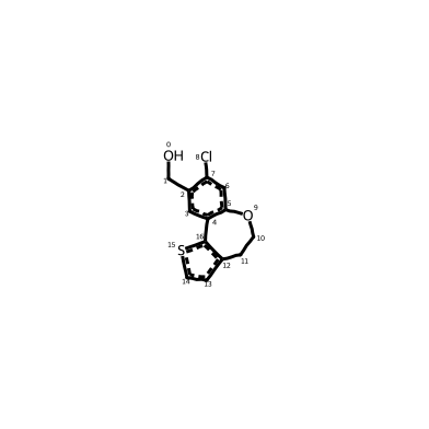 OCc1cc2c(cc1Cl)OCCc1ccsc1-2